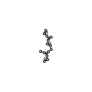 c1ccc(-c2ccc(N(c3ccc(-c4cccc(-c5ccc6oc7c(-c8ccc(N(c9ccccc9)c9ccc(-c%10cccc%11c%10oc%10ccccc%10%11)cc9)cc8)cccc7c6c5)c4)cc3)c3ccc(-c4cccc5c4oc4ccccc45)cc3)cc2)cc1